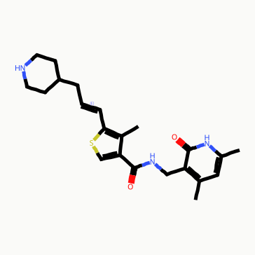 Cc1cc(C)c(CNC(=O)c2csc(/C=C/CC3CCNCC3)c2C)c(=O)[nH]1